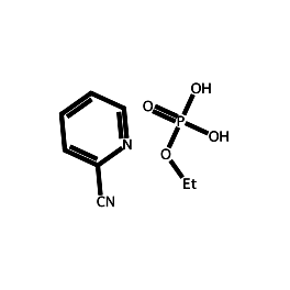 CCOP(=O)(O)O.N#Cc1ccccn1